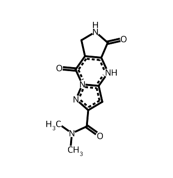 CN(C)C(=O)c1cc2[nH]c3c(c(=O)n2n1)CNC3=O